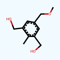 COCc1cc(CO)c(C)c(CO)c1